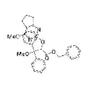 COc1nc(OC(C(=O)OCc2ccccc2)C(OC)(c2ccccc2)c2ccccc2)nc2c1CCC2